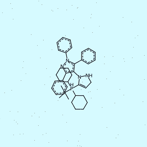 CC(C)(C)[PH](C1=CCNN1c1c(-c2ccccc2)nn(-c2ccccc2)c1-c1ccccc1)(C1CCCCC1)C1CCCCC1